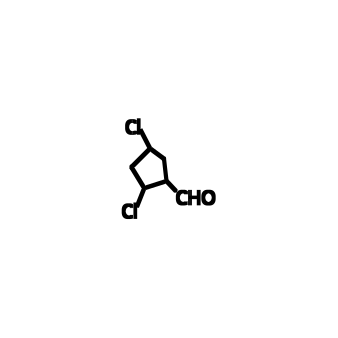 O=CC1CC(Cl)CC1Cl